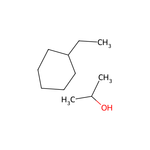 CC(C)O.CCC1CCCCC1